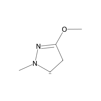 COC1=NN(C)[C]C1